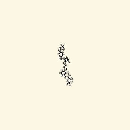 Cn1ncc(Nc2ccc(O[Si](C)(C)C(C)(C)C)cc2)c1OCCOc1cccc2c1CCN(C(=O)OC(C)(C)C)C2